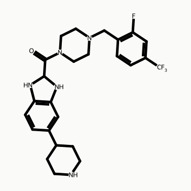 O=C(C1Nc2ccc(C3CCNCC3)cc2N1)N1CCN(Cc2ccc(C(F)(F)F)cc2F)CC1